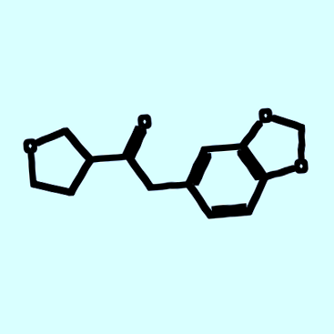 O=C(Cc1ccc2c(c1)OCO2)C1CCOC1